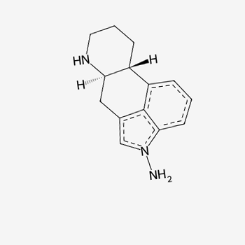 Nn1cc2c3c(cccc31)[C@H]1CCCN[C@@H]1C2